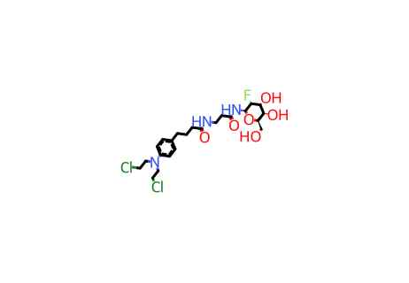 O=C(CCCc1ccc(N(CCCl)CCCl)cc1)NCCC(=O)N[C@@H]1O[C@H](CO)[C@@H](O)[C@H](O)[C@H]1F